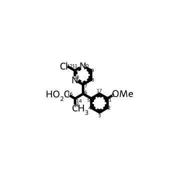 COc1cccc(C(c2ccnc(Cl)n2)C(C)C(=O)O)c1